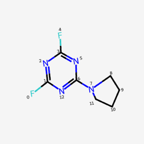 Fc1nc(F)nc(N2CCCC2)n1